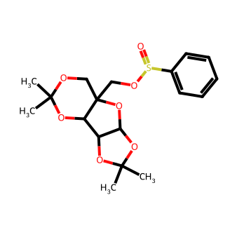 CC1(C)OC2OC3(COS(=O)c4ccccc4)COC(C)(C)OC3C2O1